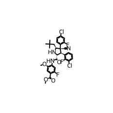 COC(=O)c1cc(OC)c(NC(=O)[C@@H]2N[C@@H](CC(C)(C)C)[C@](C#N)(c3ccc(Cl)cc3F)[C@H]2c2cccc(Cl)c2F)cc1F